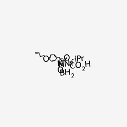 BOC=N[C@@H](Cc1ccc(OCCC=C)cc1)C(=O)N[C@@H](CC(C)C)C(=O)O